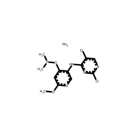 COc1cc(OP(C)C)c(Nc2nc(Cl)ncc2Cl)cn1.P